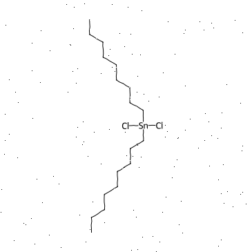 CCCCCCCC[CH2][Sn]([Cl])([Cl])[CH2]CCCCCCCC